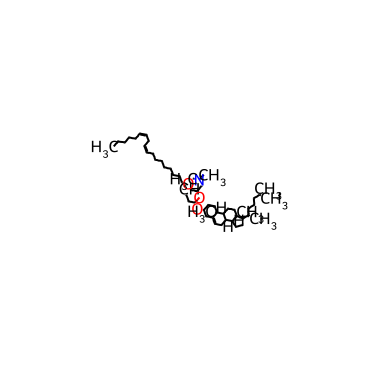 C#CCC(OC(COCCCCCCCC/C=C\C/C=C\CCCCC)CN(C)C)O[C@H]1CC[C@@]2(C)C(=CC[C@H]3[C@@H]4CC[C@H]([C@H](C)CCCC(C)C)[C@@]4(C)CC[C@@H]32)C1